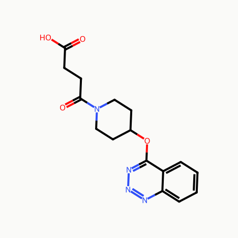 O=C(O)CCC(=O)N1CCC(Oc2nnnc3ccccc23)CC1